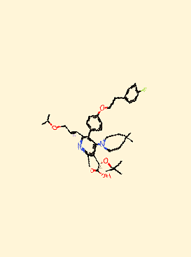 Cc1nc(/C=C/COC(C)C)c(-c2ccc(OCCc3ccc(F)cc3)cc2)c(N2CCC(C)(C)CC2)c1[C@H](OC(C)(C)C)C(=O)O